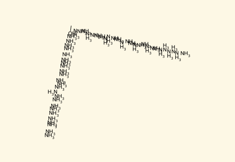 CO.N.N.N.N.N.N.N.N.N.N.N.N.N.N.N.N.N.N.N.N.N.N.N.N.N.N.N.N.N.N.N.N.N.N.N.N.N.N.N.N.N.N.N.N.N.N.N.N.N.N